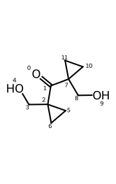 O=C(C1(CO)CC1)C1(CO)CC1